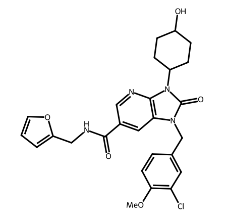 COc1ccc(Cn2c(=O)n(C3CCC(O)CC3)c3ncc(C(=O)NCc4ccco4)cc32)cc1Cl